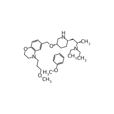 CCN(CC)[C@H](C)C[C@H]1C[C@H](c2ccc(OC)cc2)[C@@H](OCc2ccc3c(c2)N(CCCOC)CCO3)CN1